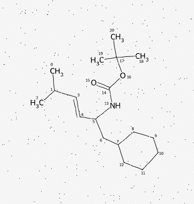 CC(C)/C=C/C(CC1CCCCC1)NC(=O)OC(C)(C)C